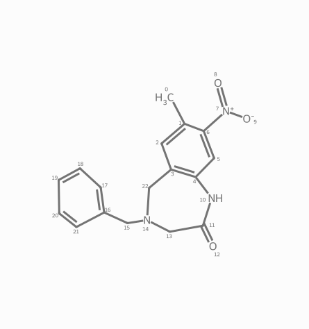 Cc1cc2c(cc1[N+](=O)[O-])NC(=O)CN(Cc1ccccc1)C2